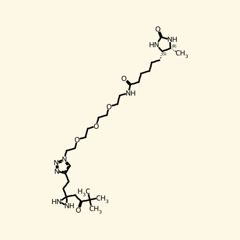 C[C@H]1NC(=O)N[C@H]1CCCCCC(=O)NCCOCCOCCOCCn1cc(CCC2(CC(=O)C(C)(C)C)NN2)nn1